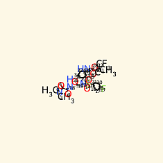 CN(C)C(=O)C(=O)NC[C@H]1CN(S(=O)(=O)c2ccc(F)cc2)c2cc(NC(=O)OC(C)(C)C(F)(F)F)ccc2O1